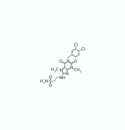 Cn1c(NCCS(N)(=O)=O)nc2c1c(=O)n(Cc1ccc(Cl)c(Cl)c1)c(=O)n2C